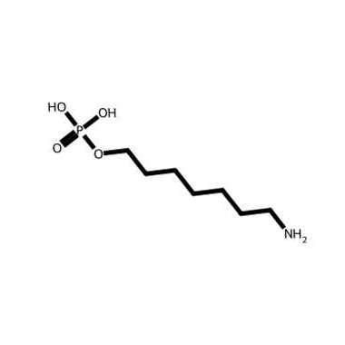 NCCCCCCCOP(=O)(O)O